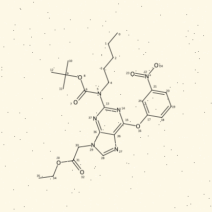 CCCCCN(C(=O)OC(C)(C)C)c1nc(Oc2cccc([N+](=O)[O-])c2)c2ncn(CC(=O)OCC)c2n1